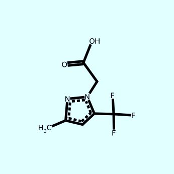 Cc1cc(C(F)(F)F)n(CC(=O)O)n1